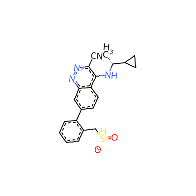 C[C@@H](Nc1c(C#N)nnc2cc(-c3ccccc3C[SH](=O)=O)ccc12)C1CC1